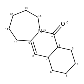 O=C1C2CCCCC2C=C2CCCCCN12